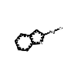 [Br][Mg][c]1cc2ccccc2[nH]1